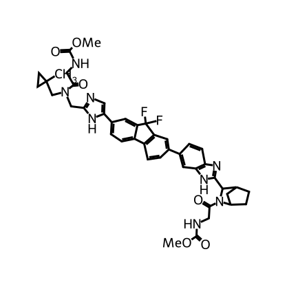 COC(=O)NCC(=O)N(Cc1ncc(-c2ccc3c(c2)C(F)(F)c2cc(-c4ccc5nc(C6C7CCC(C7)N6C(=O)CNC(=O)OC)[nH]c5c4)ccc2-3)[nH]1)CC1(C)CC1